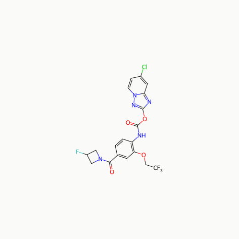 O=C(Nc1ccc(C(=O)N2CC(F)C2)cc1OCC(F)(F)F)Oc1nc2cc(Cl)ccn2n1